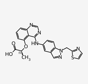 C[C@H](Oc1cccc2ncnc(Nc3ccc4c(cnn4Cc4nccs4)c3)c12)C(=O)O